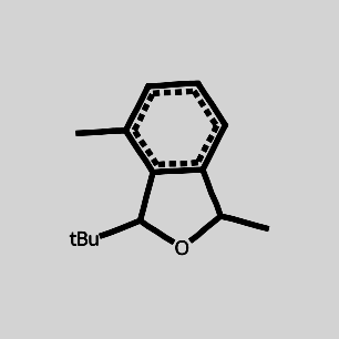 Cc1cccc2c1C(C(C)(C)C)OC2C